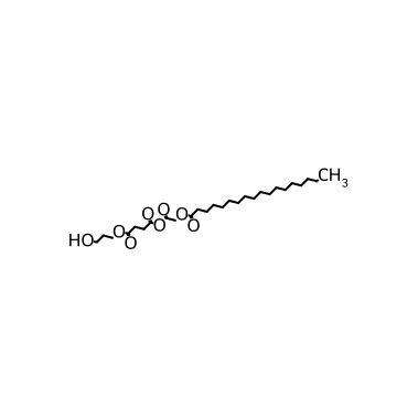 CCCCCCCCCCCCCCCCCC(=O)OCC(=O)OC(=O)CCC(=O)OCCCO